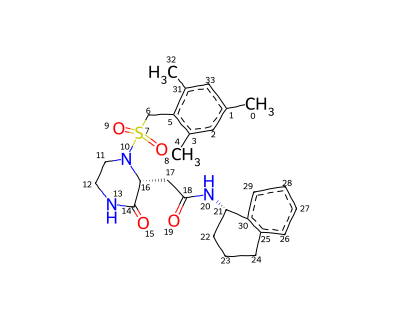 Cc1cc(C)c(CS(=O)(=O)N2CCNC(=O)[C@H]2CC(=O)N[C@H]2CCCc3ccccc32)c(C)c1